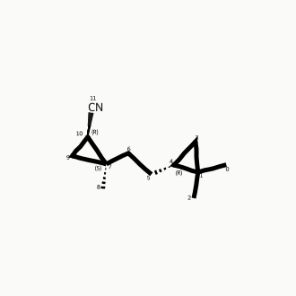 CC1(C)C[C@H]1CC[C@@]1(C)C[C@H]1C#N